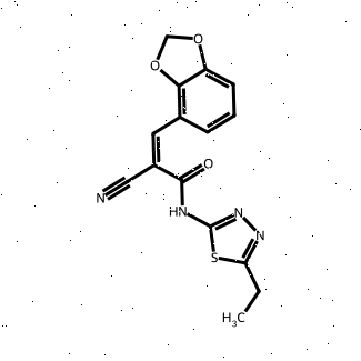 CCc1nnc(NC(=O)C(C#N)=Cc2cccc3c2OCO3)s1